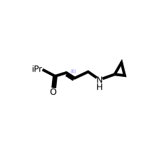 CC(C)C(=O)/C=C/CNC1CC1